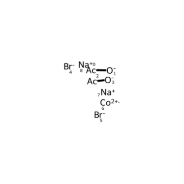 CC(=O)[O-].CC(=O)[O-].[Br-].[Br-].[Co+2].[Na+].[Na+]